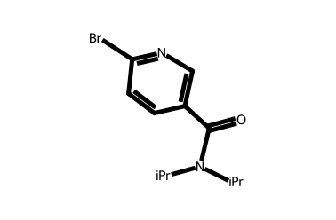 CC(C)N(C(=O)c1ccc(Br)nc1)C(C)C